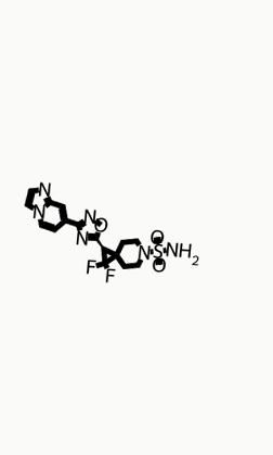 NS(=O)(=O)N1CCC2(CC1)[C@H](c1nc(-c3ccn4ccnc4c3)no1)C2(F)F